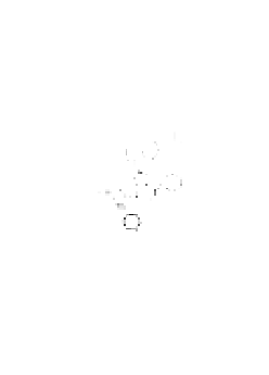 CC(C)C(=O)N([C@H]1C[C@@H](C(=O)N2CCCCC2)N(C(=O)[C@@H]2CN(C(C)(C)C)C[C@H]2c2ccc(Cl)cc2)C1)[C@H]1CC[C@@H](C)CC1